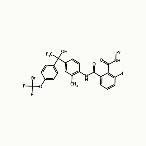 Cc1cc(C(O)(c2ccc(OC(F)(F)Br)cc2)C(F)(F)F)ccc1NC(=O)c1cccc(I)c1C(=O)NC(C)C